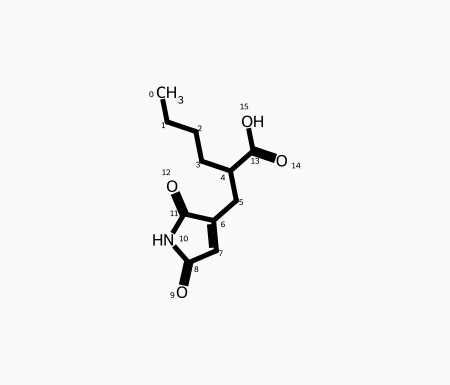 CCCCC(CC1=CC(=O)NC1=O)C(=O)O